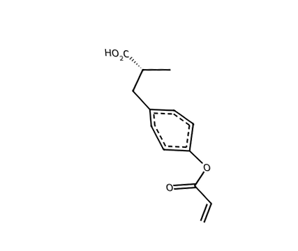 C=CC(=O)Oc1ccc(C[C@@H](C)C(=O)O)cc1